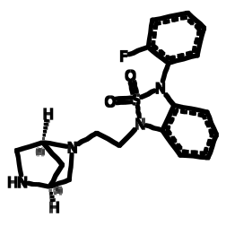 O=S1(=O)N(CCN2C[C@@H]3C[C@H]2CN3)c2ccccc2N1c1ccccc1F